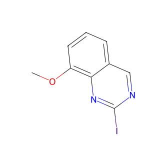 COc1cccc2cnc(I)nc12